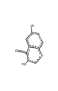 CCCc1ccc2occ(O)c(=O)c2c1